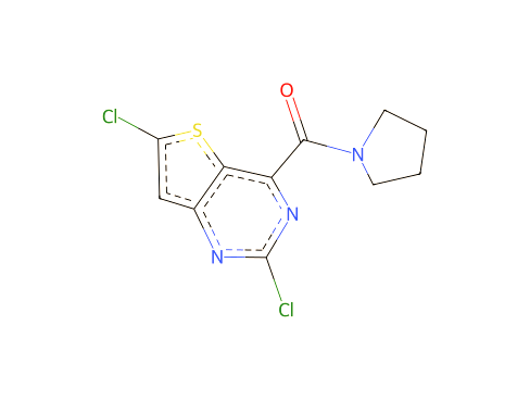 O=C(c1nc(Cl)nc2cc(Cl)sc12)N1CCCC1